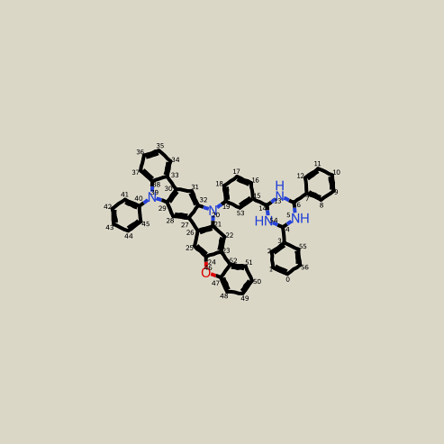 c1ccc(C2NC(c3ccccc3)NC(c3cccc(-n4c5cc6c(cc5c5cc7c(cc54)c4ccccc4n7-c4ccccc4)oc4ccccc46)c3)N2)cc1